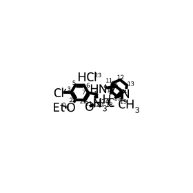 CCOc1c(Cl)ccc2c(N[C@@H]3C4CCN(CC4)C3(C)C)noc12.Cl